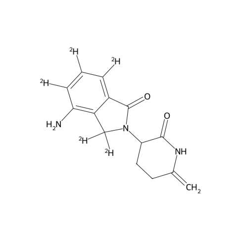 [2H]c1c([2H])c(N)c2c(c1[2H])C(=O)N(C1CCC(=C)NC1=O)C2([2H])[2H]